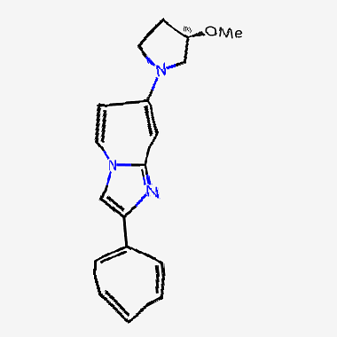 CO[C@@H]1CCN(c2ccn3cc(-c4ccccc4)nc3c2)C1